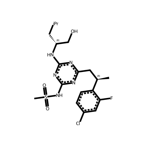 CC(C)C[C@H](CO)Nc1nc(C[C@@H](C)c2ccc(Cl)cc2F)nc(NS(C)(=O)=O)n1